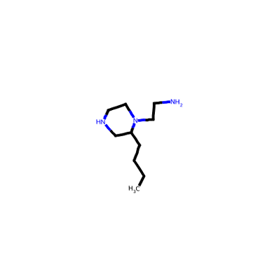 CCCCC1CNCCN1CCN